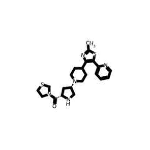 Cc1nc(C2CCN([C@@H]3CN[C@H](C(=O)N4CCSC4)C3)CC2)c(-c2ccccn2)s1